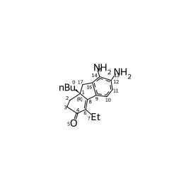 CCCC[C@]12CCC(=O)C(CC)=C1c1ccc(N)c(N)c1C2